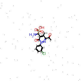 CC(=O)c1nn(-c2cccc(Cl)c2)c(=O)c(C(N)S(=O)(=O)O)c1C